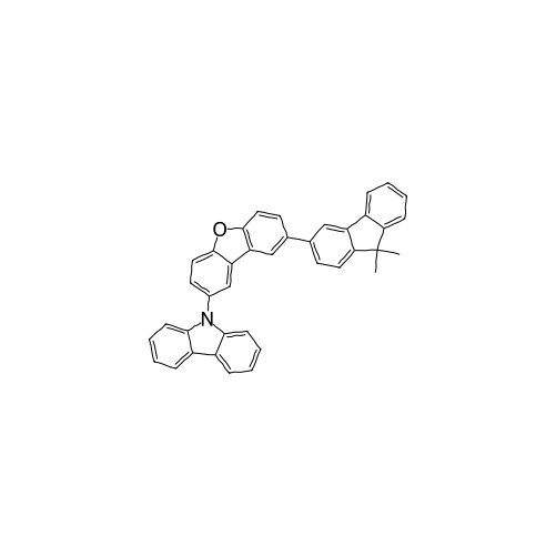 CC1(C)c2ccccc2-c2cc(-c3ccc4oc5ccc(-n6c7ccccc7c7ccccc76)cc5c4c3)ccc21